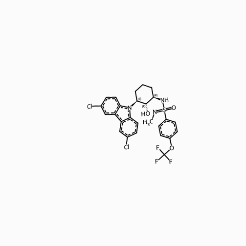 CN=S(=O)(N[C@@H]1CCC[C@H](n2c3ccc(Cl)cc3c3cc(Cl)ccc32)[C@H]1O)c1ccc(OC(F)(F)F)cc1